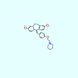 COC1=CC2CCc3cc(OC)ccc3/C(=C\c3ccc(OCCN4CCCCC4)cc3)C2C=C1